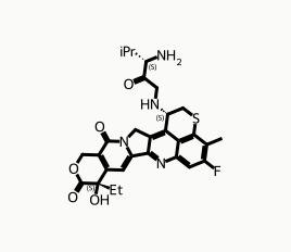 CC[C@@]1(O)C(=O)OCc2c1cc1n(c2=O)Cc2c-1nc1cc(F)c(C)c3c1c2[C@H](NCC(=O)[C@@H](N)C(C)C)CS3